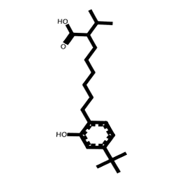 CC(C)C(CCCCCCc1ccc(C(C)(C)C)cc1O)C(=O)O